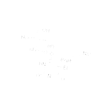 C=CC.C=CC.CCCC(C)C1(CC)C(=O)N=C([O-])NC1=O.CCCOCCC.OCCO.[Na+]